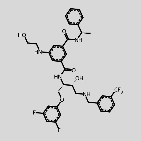 C[C@@H](NC(=O)c1cc(NCCO)cc(C(=O)N[C@@H](COc2cc(F)cc(F)c2)[C@H](O)CNCc2cccc(C(F)(F)F)c2)c1)c1ccccc1